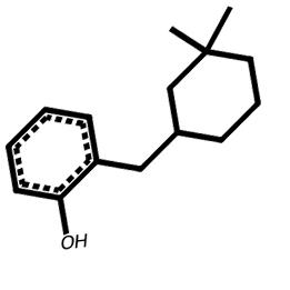 CC1(C)CCCC(Cc2ccccc2O)C1